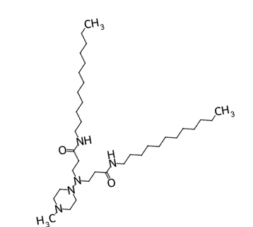 CCCCCCCCCCCCNC(=O)CCN(CCC(=O)NCCCCCCCCCCCC)N1CCN(C)CC1